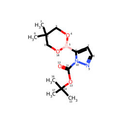 CC1(C)COB(c2ccnn2C(=O)OC(C)(C)C)OC1